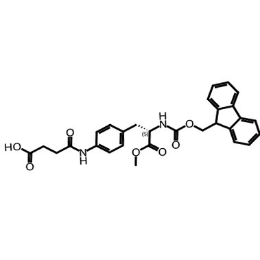 COC(=O)[C@H](Cc1ccc(NC(=O)CCC(=O)O)cc1)NC(=O)OCC1c2ccccc2-c2ccccc21